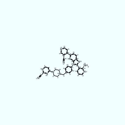 N#Cc1nccc(N2CCN(Cc3ccc(-n4c(-c5cccnc5N)nc5ccc(-c6ccncc6C#N)nc54)cc3)CC2)n1